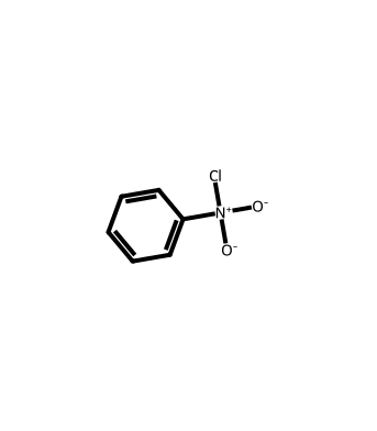 [O-][N+]([O-])(Cl)c1ccccc1